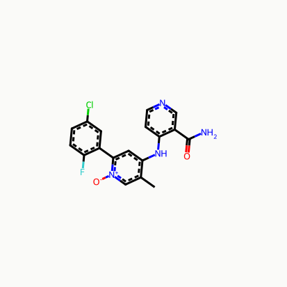 Cc1c[n+]([O-])c(-c2cc(Cl)ccc2F)cc1Nc1ccncc1C(N)=O